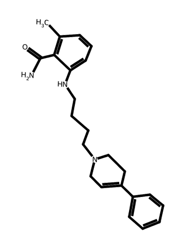 Cc1cccc(NCCCCN2CC=C(c3ccccc3)CC2)c1C(N)=O